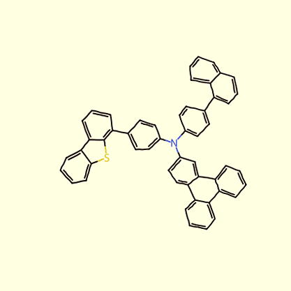 c1ccc2c(-c3ccc(N(c4ccc(-c5cccc6c5sc5ccccc56)cc4)c4ccc5c6ccccc6c6ccccc6c5c4)cc3)cccc2c1